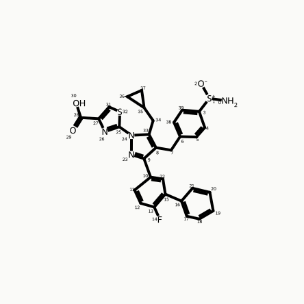 N[S+]([O-])c1ccc(Cc2c(-c3ccc(F)c(-c4ccccc4)c3)nn(-c3nc(C(=O)O)cs3)c2CC2CC2)cc1